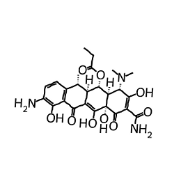 CCC(=O)O[C@H]1[C@H]2C(=C(O)[C@]3(O)C(=O)C(C(N)=O)=C(O)[C@@H](N(C)C)[C@H]13)C(=O)c1c(ccc(N)c1O)[C@@H]2C